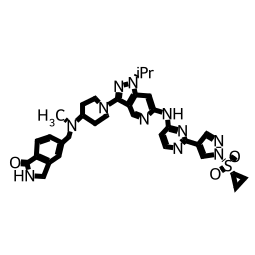 CC(C)n1nc(N2CCC(N(C)Cc3ccc4c(c3)CNC4=O)CC2)c2cnc(Nc3ccnc(-c4cnn(S(=O)(=O)C5CC5)c4)n3)cc21